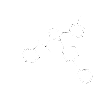 O=C(Nc1ccccc1)c1cnn(-c2cccc(Br)c2)c1-c1ccc(-c2ccccc2)cc1